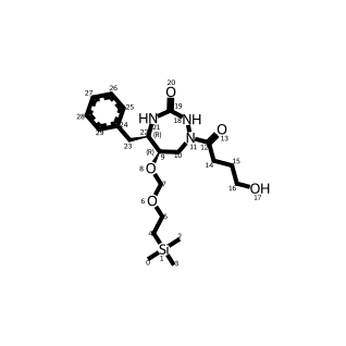 C[Si](C)(C)CCOCO[C@@H]1CN(C(=O)CCCO)NC(=O)N[C@@H]1Cc1ccccc1